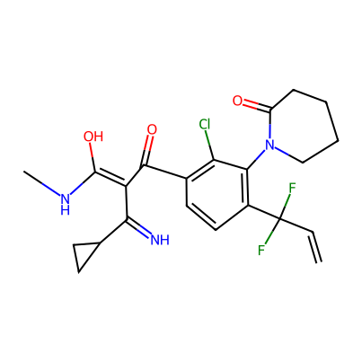 C=CC(F)(F)c1ccc(C(=O)/C(C(=N)C2CC2)=C(\O)NC)c(Cl)c1N1CCCCC1=O